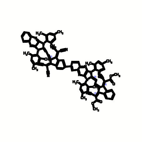 COC(=O)/C(C#N)=C1C(=C/C=C2/N(c3c(C)cc(C)cc3C)c3nc4ccc(-c5ccc6c(c5)C(=C(C#N)C#N)/C(=C\C=C5N(c7c(C)cc(C)cc7C)c7nc8ccccc8nc7N5c5c(C)cc(C)cc5C)C6=C(C#N)C#N)cc4nc3N2c2c(C)cc(C)cc2C)/C(=C(\C#N)C(=O)OC)c2ccccc2/1